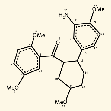 COc1ccc(OC)c(C(=O)C2CC(OC)CCC2c2ccc(OC)c(N)c2)c1